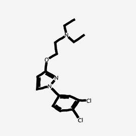 CCN(CC)CCOc1ccn(-c2ccc(Cl)c(Cl)c2)n1